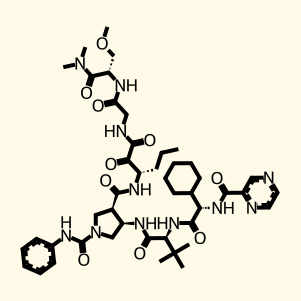 CCC[C@H](NC(=O)[C@@H]1CN(C(=O)Nc2ccccc2)C[C@@H]1NC(=O)[C@@H](NC(=O)[C@@H](NC(=O)c1cnccn1)C1CCCCC1)C(C)(C)C)C(=O)C(=O)NCC(=O)N[C@@H](COC)C(=O)N(C)C